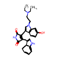 CCN(CC)CCn1cc(C2=C(c3c[nH]c4ccccc34)C(=O)NC2=O)c2ccc(O)cc21